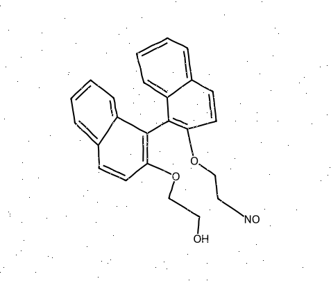 O=NCCOc1ccc2ccccc2c1-c1c(OCCO)ccc2ccccc12